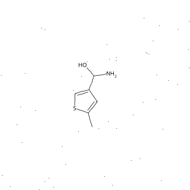 Cc1cc(C(N)O)cs1